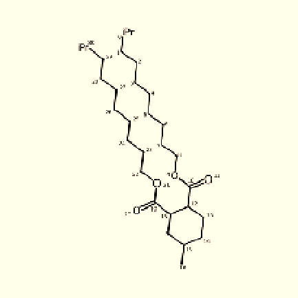 CC(C)CCCCCCCCOC(=O)C1CCC(C)CC1C(=O)OCCCCCCCCC(C)C